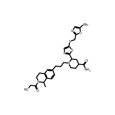 CC1c2ccc(CCCN3CCC(C(N)=O)CC3c3ncc(SCc4ncc(C(C)(C)C)o4)s3)cc2CCN1C(=O)CC#N